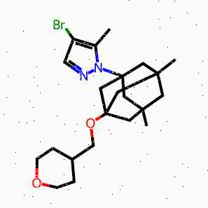 Cc1c(Br)cnn1C12CC3(C)CC(C)(CC(OCC4CCOCC4)(C3)C1)C2